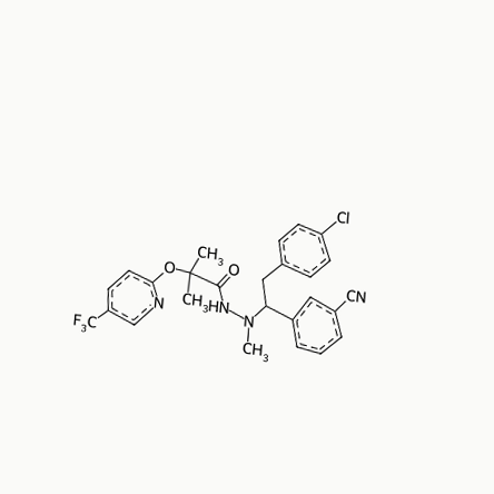 CN(NC(=O)C(C)(C)Oc1ccc(C(F)(F)F)cn1)C(Cc1ccc(Cl)cc1)c1cccc(C#N)c1